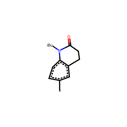 [CH2]c1ccc2c(c1)CCC(=O)N2C(C)CC